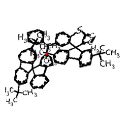 CC(C)(C)c1ccc2c(c1)C1(c3ccccc3Sc3ccc(N(c4ccccc4)c4ccc5c(c4)C4(c6ccccc6-5)c5cc(C(C)(C)C)ccc5-c5ccc(C(C)(C)C)cc54)cc31)c1cc(C(C)(C)C)ccc1-2